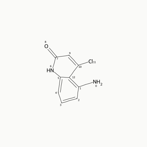 Nc1cccc2[nH]c(=O)cc(Cl)c12